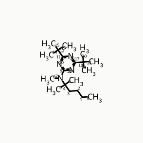 CCCCC(C)(C)N(C)c1nc(C(C)(C)C)nc(C(C)(C)C)n1